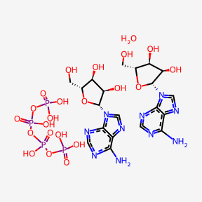 Nc1ncnc2c1ncn2[C@@H]1O[C@H](CO)[C@@H](O)[C@H]1O.Nc1ncnc2c1ncn2[C@@H]1O[C@H](CO)[C@@H](O)[C@H]1O.O.O=P(O)(O)OP(=O)(O)OP(=O)(O)OP(=O)(O)O